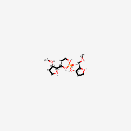 CC(C)OC[C@H]1OCC[C@@H]1O[P@@]1(=O)OCC[C@@H]([C@H]2OCC[C@@H]2OC(C)C)O1